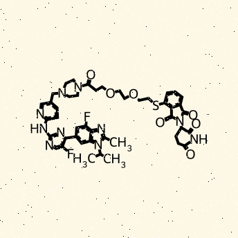 Cc1nc2c(F)cc(-c3nc(Nc4ccc(CN5CCN(C(=O)CCOCCOCCSc6cccc7c6C(=O)N(C6CCC(=O)NC6=O)C7=O)CC5)cn4)ncc3F)cc2n1C(C)C